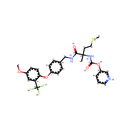 COc1ccc(Oc2ccc(CNC(=O)C(C)(CCSC)NC(=O)Oc3cccnc3)cc2)c(C(F)(F)F)c1